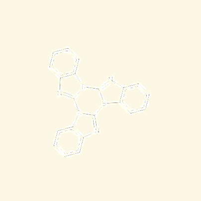 c1ccc2c(c1)N=C1B2C2=Nc3ccccc3B2C2=Nc3ccccc3B12